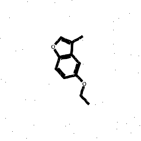 CCOc1ccc2occ(C)c2c1